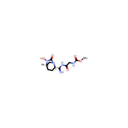 CC(C)(C)OC(=O)NCC(=O)NC(=N)[C@@H]1CC[C@@H]2CN1C(=O)N2O